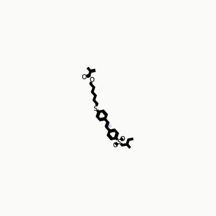 C=C(C)C(=O)OCCCCCCSc1ccc(/C=C/c2ccc(S(=O)(=O)CC(C)CC)cc2)cc1